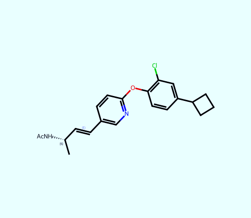 CC(=O)N[C@@H](C)/C=C/c1ccc(Oc2ccc(C3CCC3)cc2Cl)nc1